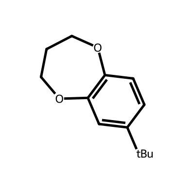 CC(C)(C)c1ccc2c(c1)OCCCO2